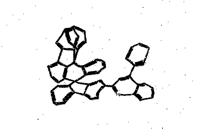 c1ccc(-c2cc(-c3ccc4c(c3)C3(c5ccccc5-4)c4ccccc4C4(c5ccccc5)c5ccccc5-c5cccc3c54)nc3ccccc23)cc1